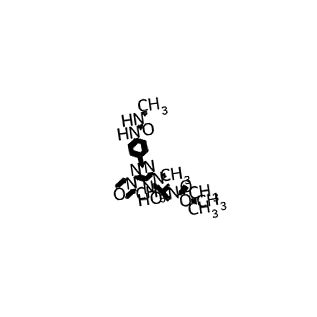 CCNC(=O)Nc1ccc(-c2nc(N3CCOCC3C)c3nc(C4(O)CN(C(=O)OC(C)(C)C)C4)n(C)c3n2)cc1